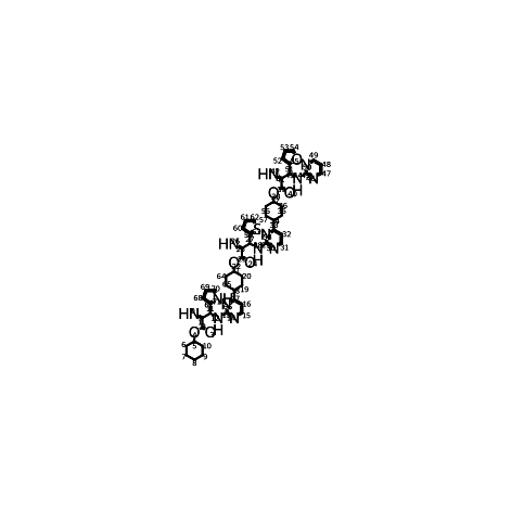 N=C(C(=O)OC1CCCCC1)C(Nc1nccc(C2CCC(OC(=O)C(=N)C(Nc3nccc(C4CCC(OC(=O)C(=N)C(Nc5ncccn5)c5ccco5)CC4)n3)c3cccs3)CC2)n1)c1ccc[nH]1